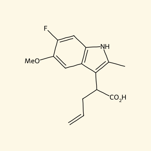 C=CCC(C(=O)O)c1c(C)[nH]c2cc(F)c(OC)cc12